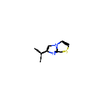 CC(C)c1cn2ccsc2n1